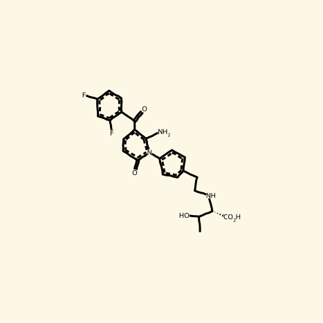 CC(O)[C@H](NCCc1ccc(-n2c(N)c(C(=O)c3ccc(F)cc3F)ccc2=O)cc1)C(=O)O